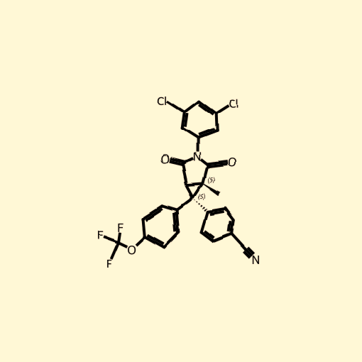 C[C@]12C(=O)N(c3cc(Cl)cc(Cl)c3)C(=O)C1[C@]2(c1ccc(C#N)cc1)c1ccc(OC(F)(F)F)cc1